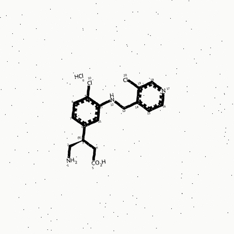 Cl.NC[C@H](CC(=O)O)c1ccc(Cl)c(NCc2ccncc2Cl)c1